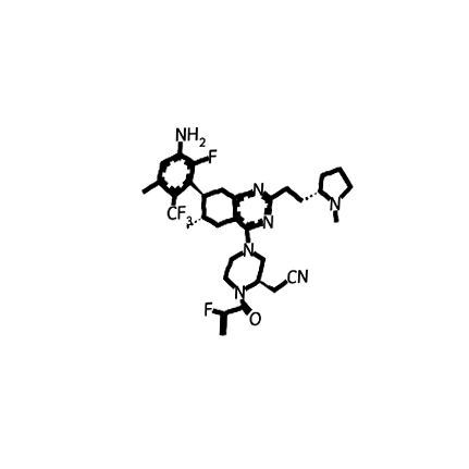 C=C(F)C(=O)N1CCN(c2nc(CC[C@@H]3CCCN3C)nc3c2C[C@H](C)[C@@H](c2c(F)c(N)cc(C)c2C(F)(F)F)C3)C[C@H]1CC#N